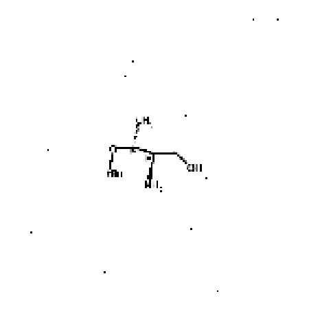 C[C@@H](OC(C)(C)C)[C@H](N)CO